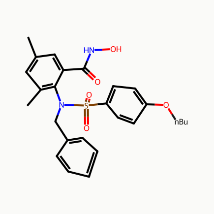 CCCCOc1ccc(S(=O)(=O)N(Cc2ccccc2)c2c(C)cc(C)cc2C(=O)NO)cc1